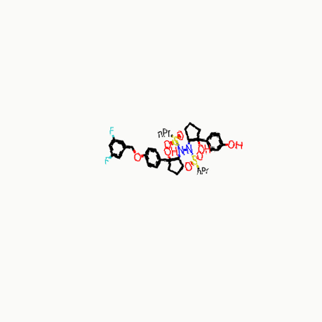 CCCS(=O)(=O)N(C1CCCC1(O)c1ccc(O)cc1)N(C1CCCC1(O)c1ccc(OCc2cc(F)cc(F)c2)cc1)S(=O)(=O)CCC